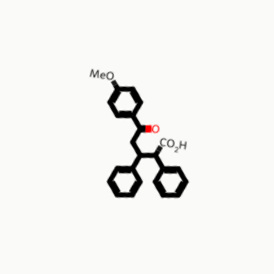 COc1ccc(C(=O)CC(c2ccccc2)C(C(=O)O)c2ccccc2)cc1